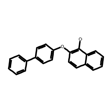 [O]c1c(Oc2ccc(-c3ccccc3)cc2)ccc2ccccc12